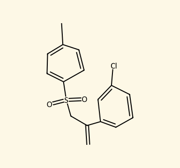 C=C(CS(=O)(=O)c1ccc(C)cc1)c1cccc(Cl)c1